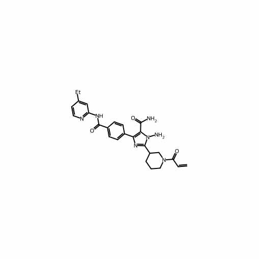 C=CC(=O)N1CCCC(c2nc(-c3ccc(C(=O)Nc4cc(CC)ccn4)cc3)c(C(N)=O)n2N)C1